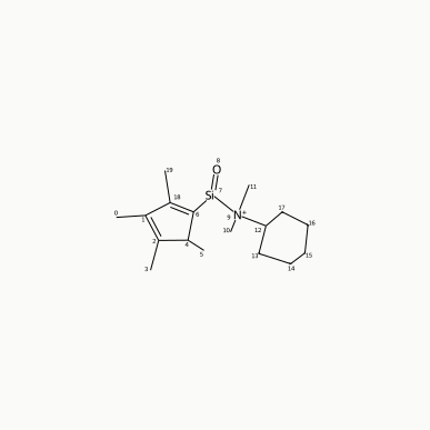 CC1=C(C)C(C)C([Si](=O)[N+](C)(C)C2CCCCC2)=C1C